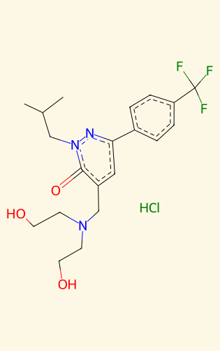 CC(C)Cn1nc(-c2ccc(C(F)(F)F)cc2)cc(CN(CCO)CCO)c1=O.Cl